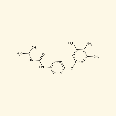 Cc1cc(Oc2ccc(NC(=O)NC(C)C)cc2)cc(C)c1N